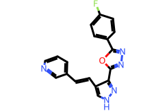 Fc1ccc(-c2nnc(-c3n[nH]cc3C=Cc3cccnc3)o2)cc1